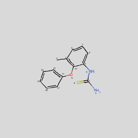 Cc1cccc(NC(N)=S)c1Oc1ccccc1